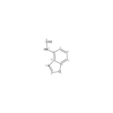 O=CNc1cccc2ocnc12